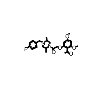 COc1cc(OC)c(C(C)=O)c(OCC(=O)N2CC(C)N(Cc3ccc(F)cc3)CC2C)c1